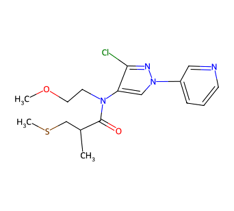 COCCN(C(=O)C(C)CSC)c1cn(-c2cccnc2)nc1Cl